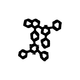 c1ccc(-c2cc(-c3ccccc3)nc(-c3ccc4ccccc4c3-c3ccc(-c4nc(-c5ccccc5)nc(-c5ccccc5)n4)cc3)c2)cc1